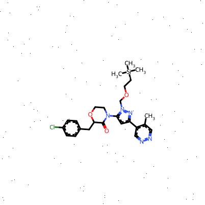 Cc1cnncc1-c1cc(N2CCOC(Cc3ccc(Cl)cc3)C2=O)n(COCC[Si](C)(C)C)n1